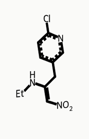 CCN/C(=C/[N+](=O)[O-])Cc1ccc(Cl)nc1